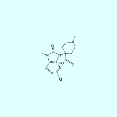 CN1CCC(C(=O)O)(n2c(=O)n(C)c3cnc(Cl)nc32)CC1